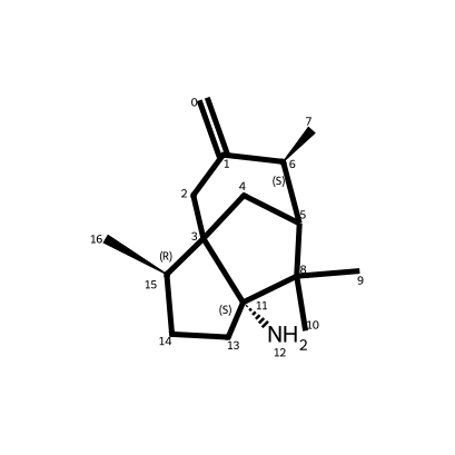 C=C1CC23CC([C@@H]1C)C(C)(C)[C@@]2(N)CC[C@H]3C